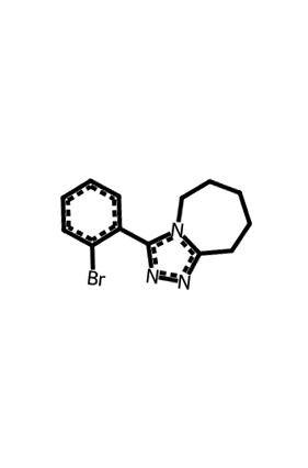 Brc1ccccc1-c1nnc2n1CCCCC2